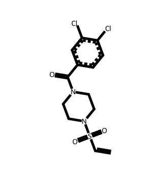 C=CS(=O)(=O)N1CCN(C(=O)c2ccc(Cl)c(Cl)c2)CC1